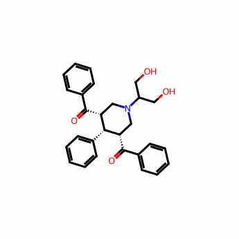 O=C(c1ccccc1)[C@H]1CN(C(CO)CO)C[C@@H](C(=O)c2ccccc2)[C@H]1c1ccccc1